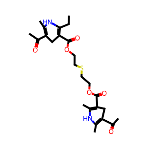 CCC1=C(C(=O)OCCSCCOC(=O)C2=C(C)NC(C)=C(C(C)=O)C2)CC(C(C)=O)=C(C)N1